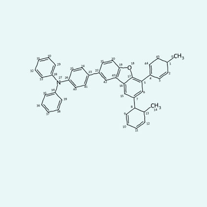 CC1C=CC(c2cc(C3C=CC=CC3C)cc3c2oc2ccc(-c4ccc(N(c5ccccc5)c5ccccc5)cc4)cc23)=CC1